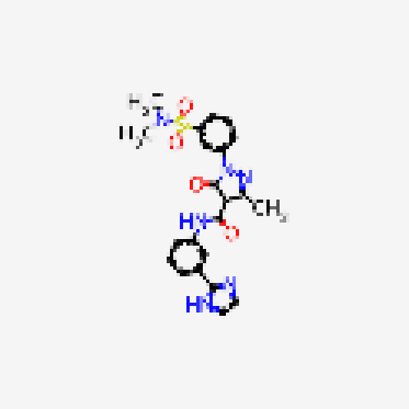 CC1=NN(c2cccc(S(=O)(=O)N(C)C)c2)C(=O)C1C(=O)Nc1cccc(-c2ncc[nH]2)c1